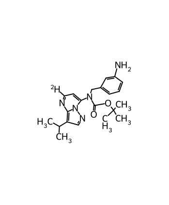 [2H]c1cc(N(Cc2cccc(N)c2)C(=O)OC(C)(C)C)n2ncc(C(C)C)c2n1